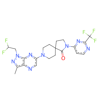 Cc1nn(CC(F)F)c2nc(N3CCC4(CC3)CCN(c3ccnc(C(F)(F)F)n3)C4=O)cnc12